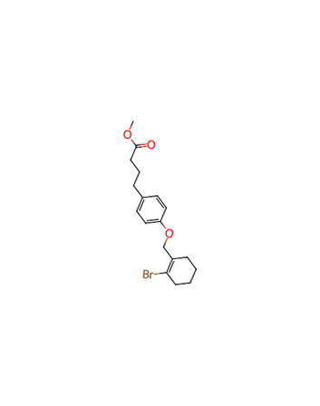 COC(=O)CCCc1ccc(OCC2=C(Br)CCCC2)cc1